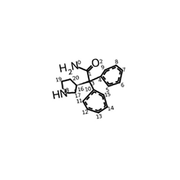 NC(=O)C(c1ccccc1)(c1ccccc1)[C@H]1[CH]NCC1